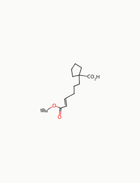 CC(C)(C)OC(=O)C=CCCCC1(C(=O)O)CCCC1